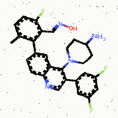 Cc1ccc(F)c(C=NO)c1-c1ccc2ncc(-c3cc(F)cc(F)c3)c(N3CCC(N)CC3)c2c1